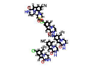 CC(C)Cc1cc(C#N)cc2cc3n(c12)CCCNC3=O.Cc1c2n(c3c(C)cc(C#N)cc13)CCCNC2=O.Cc1c2n(c3c(C)cc(Cl)cc13)CCCNC2=O.Cc1c2n(c3c(CC(C)C)cc(Cl)cc13)CCCNC2=O.Cc1c2n(c3c(N4CCS(=O)(=O)CC4)cc(C#N)cc13)CCCNC2=O